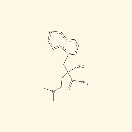 CN(C)CCC(C=O)(Cc1cccc2ccccc12)C(N)=O